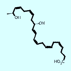 C[C@H](O)/C=C\C/C=C\C[C@H](O)/C=C/C=C\C/C=C\C/C=C\CCC(=O)O